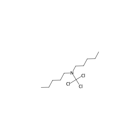 CCCCCN(CCCCC)C(Cl)(Cl)Cl